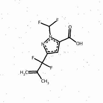 C=C(C)C(F)(F)c1cc(C(=O)O)n(C(F)F)n1